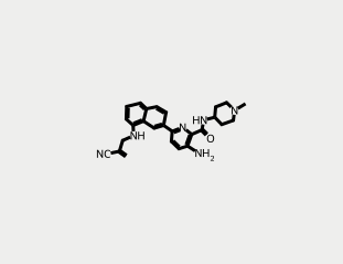 C=C(C#N)CNc1cccc2ccc(-c3ccc(N)c(C(=O)NC4CCN(C)CC4)n3)cc12